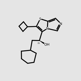 O[C@@H](CC1CCCCC1)c1c(C2CCC2)sc2cncn12